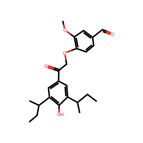 CCC(C)c1cc(C(=O)COc2ccc(C=O)cc2OC)cc(C(C)CC)c1O